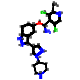 Cc1ncc(Cl)c([C@@H](N)Oc2ccc3[nH]nc(-c4cnn(C5CCNCC5)c4)c3c2)c1Cl